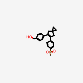 CS(=O)(=O)c1ccc(C2=C(c3ccc(CO)cc3)CC3(CC3)C2)cc1